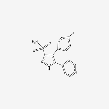 NS(=O)(=O)c1n[nH]c(-c2ccncc2)c1-c1ccc(F)cc1